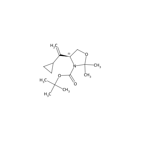 C=C(C1CC1)[C@H]1COC(C)(C)N1C(=O)OC(C)(C)C